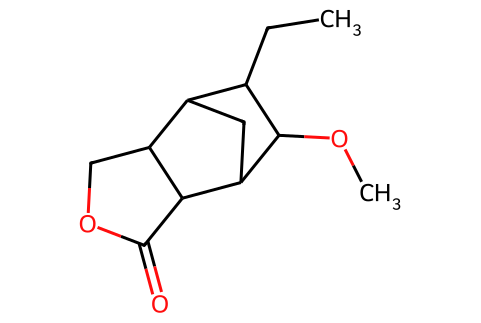 CCC1C2CC(C1OC)C1C(=O)OCC21